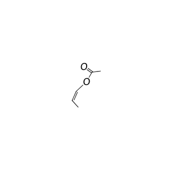 C/C=C\OC(C)=O